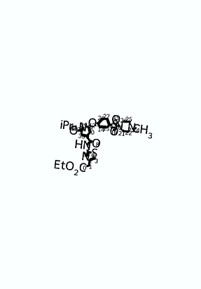 CCOC(=O)Cc1csc(NC(=O)c2cc(Oc3ccc(S(=O)(=O)N4CCN(C)CC4)cc3)nc(OC(C)C)c2)n1